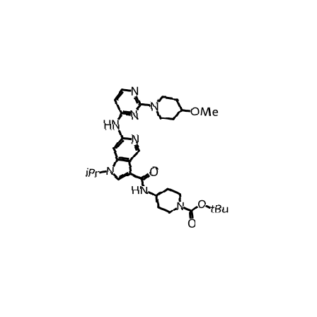 COC1CCN(c2nccc(Nc3cc4c(cn3)c(C(=O)NC3CCN(C(=O)OC(C)(C)C)CC3)cn4C(C)C)n2)CC1